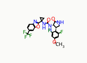 COc1cc(F)c([C@@H]2CNC(=O)[C@H]2NC(=O)NC2(c3nc4ccc(C(F)(F)F)cc4o3)CC2)c(F)c1